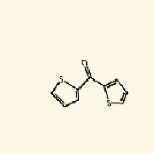 O=C(c1cccs1)c1cccs1